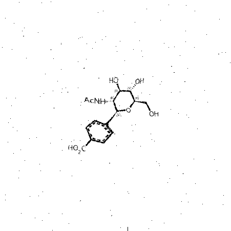 CC(=O)N[C@@H]1[C@@H](O)[C@H](O)[C@@H](CO)O[C@H]1c1ccc(C(=O)O)cc1